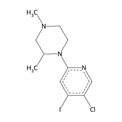 CC1CN(C)CCN1c1cc(I)c(Cl)cn1